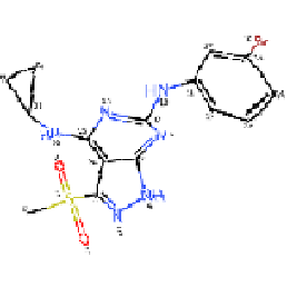 CS(=O)(=O)c1n[nH]c2nc(Nc3cccc(Br)c3)nc(NC3CC3)c12